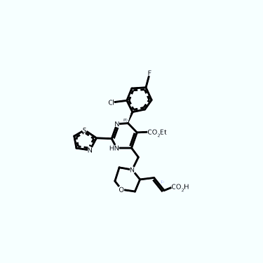 CCOC(=O)C1=C(CN2CCOCC2/C=C/C(=O)O)NC(c2nccs2)=N[C@H]1c1ccc(F)cc1Cl